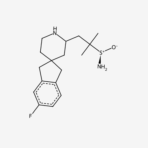 CC(C)(CC1CC2(CCN1)Cc1ccc(F)cc1C2)[S@+](N)[O-]